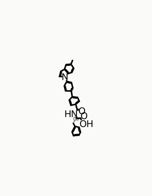 Cc1ccc2c(ccn2-c2ccc(-c3ccc(C(=O)N[C@@H](Cc4ccccc4)C(=O)O)cc3)cc2)c1